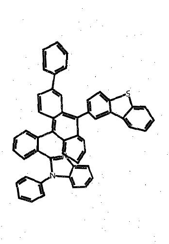 c1ccc(-c2ccc3c(-c4ccccc4-c4nc5ccccc5n4-c4ccccc4)c4ccccc4c(-c4ccc5sc6ccccc6c5c4)c3c2)cc1